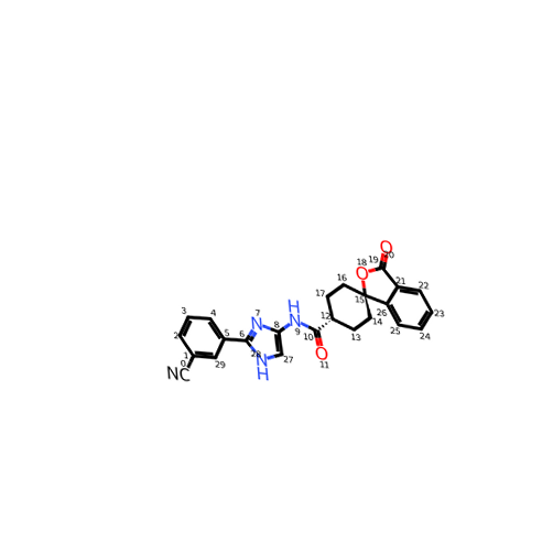 N#Cc1cccc(-c2nc(NC(=O)[C@H]3CC[C@@]4(CC3)OC(=O)c3ccccc34)c[nH]2)c1